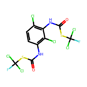 O=C(Nc1ccc(Cl)c(NC(=O)SC(F)(Cl)Cl)c1Cl)SC(F)(Cl)Cl